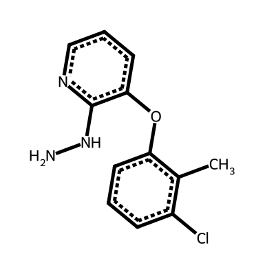 Cc1c(Cl)cccc1Oc1cccnc1NN